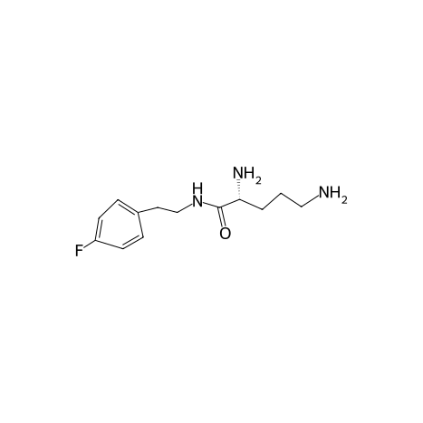 NCCC[C@@H](N)C(=O)NCCc1ccc(F)cc1